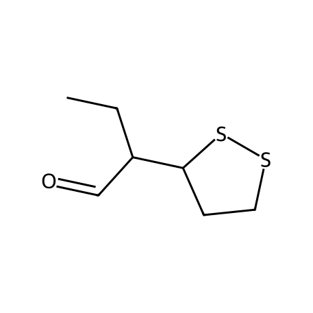 CCC(C=O)C1CCSS1